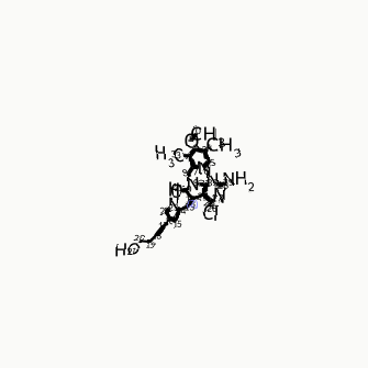 COc1c(C)cnc(CN2C(=O)/C(=C\c3cc(C#CCCO)c[nH]3)c3c(Cl)nc(N)nc32)c1C